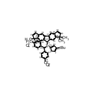 CC(C)(C)C1=CC[C]([Zr+2](=[C](c2ccc(C(F)(F)F)cc2)c2ccc(C(F)(F)F)cc2)[CH]2c3cc4c(cc3-c3cc5c(cc32)C(C)(C)C=C5)C=CC4(C)C)=C1.[Cl-].[Cl-]